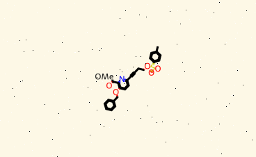 COC(=O)c1nc(C#CCCOS(=O)(=O)c2ccc(C)cc2)ccc1OCc1ccccc1